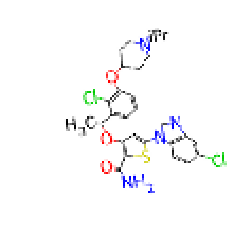 CC(C)N1CCC(Oc2cccc([C@@H](C)Oc3cc(-n4cnc5cc(Cl)ccc54)sc3C(N)=O)c2Cl)CC1